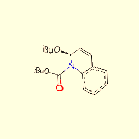 CC(C)COC(=O)N1c2ccccc2C=C[C@@H]1OCC(C)C